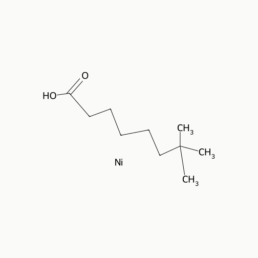 CC(C)(C)CCCCCC(=O)O.[Ni]